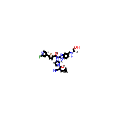 C[C@@H](CO)NCc1ccc2c(c1)nc(NC(=O)c1ccc(-c3ccnc(F)c3)s1)n2C[C@H]1CCCN1C(=O)/C(C#N)=C\C1CC1